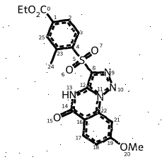 CCOC(=O)c1ccc(S(=O)(=O)c2nnn3c2[nH]c(=O)c2ccc(OC)cc23)c(C)c1